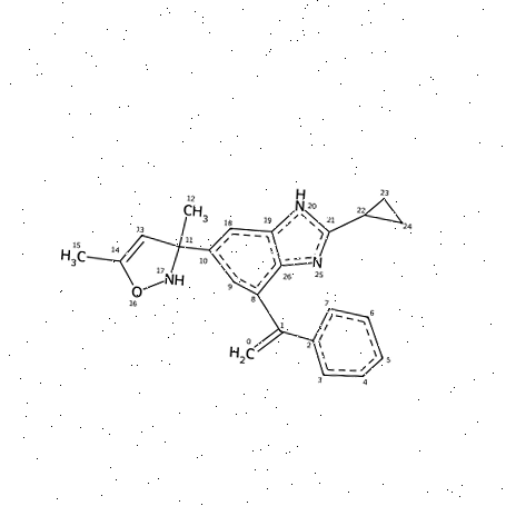 C=C(c1ccccc1)c1cc(C2(C)C=C(C)ON2)cc2[nH]c(C3CC3)nc12